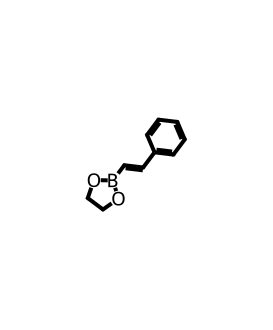 C(=C\c1ccccc1)/B1OCCO1